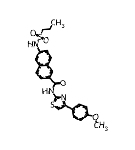 CCCS(=O)(=O)Nc1ccc2cc(C(=O)Nc3nc(-c4ccc(OC)cc4)cs3)ccc2c1